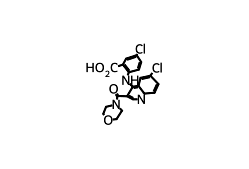 O=C(O)c1cc(Cl)ccc1Nc1c(C(=O)N2CCOCC2)cnc2ccc(Cl)cc12